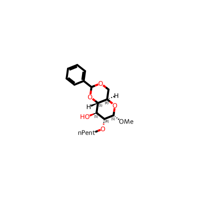 CCCCCO[C@H]1[C@@H](OC)O[C@@H]2COC(c3ccccc3)O[C@H]2[C@@H]1O